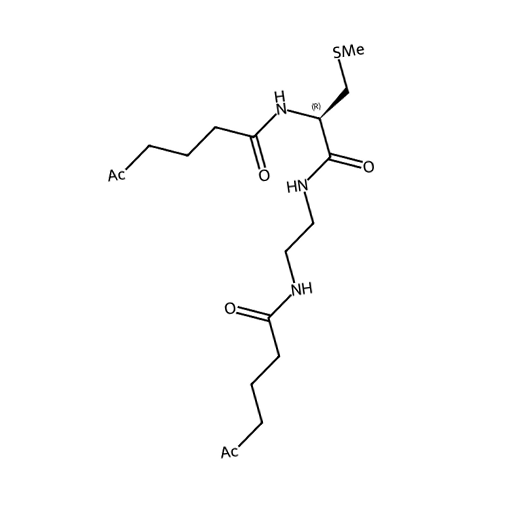 CSC[C@H](NC(=O)CCCC(C)=O)C(=O)NCCNC(=O)CCCC(C)=O